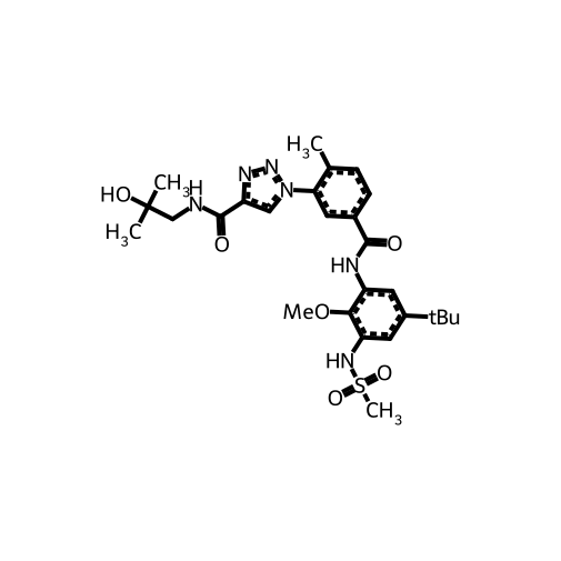 COc1c(NC(=O)c2ccc(C)c(-n3cc(C(=O)NCC(C)(C)O)nn3)c2)cc(C(C)(C)C)cc1NS(C)(=O)=O